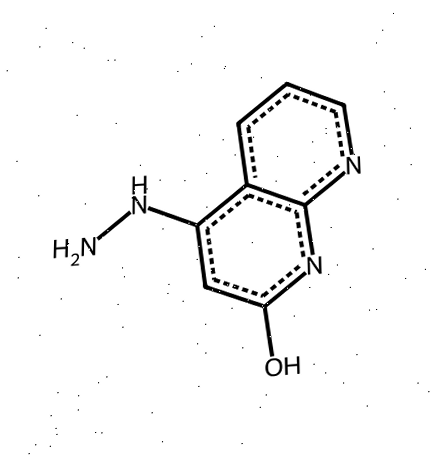 NNc1cc(O)nc2ncccc12